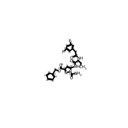 CCC(NC(=O)Cc1cc(F)cc(F)c1)C(=O)Nc1cc(C(=O)OCc2ccccc2)nn1C(N)=O